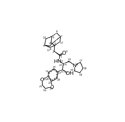 O=C(CC12CC3CC(CC(C3)C1)C2)N[C@@H](CN1CCCC1)C(O)c1ccc2c(c1)OCCO2